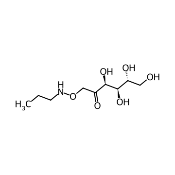 CCCNOCC(=O)[C@@H](O)[C@H](O)[C@H](O)CO